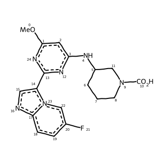 COc1cc(NC2CCCN(C(=O)O)C2)nc(-c2cnc3ccc(F)cn23)n1